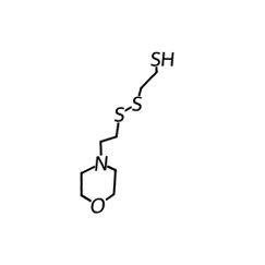 SCCSSCCN1CCOCC1